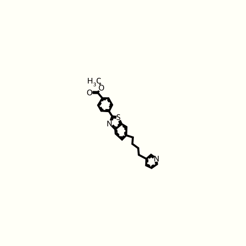 COC(=O)c1ccc(-c2nc3ccc(CCCCc4cccnc4)cc3s2)cc1